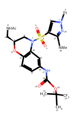 CCn1cc(S(=O)(=O)N2C[C@H](CNC(C)=O)Oc3ccc(NC(=O)OC(C)(C)C(F)(F)F)cc32)c(NC)n1